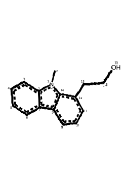 Cn1c2ccccc2c2cccc(CCO)c21